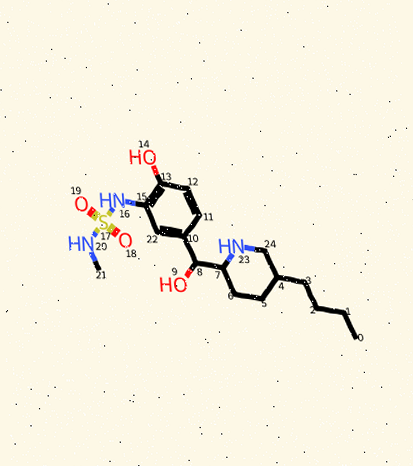 CCCCC1CCC(C(O)c2ccc(O)c(NS(=O)(=O)NC)c2)NC1